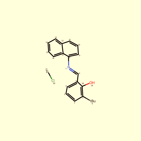 CC(C)(C)c1cccc(C=Nc2cccc3ccccc23)c1O.[Cl][Ti]